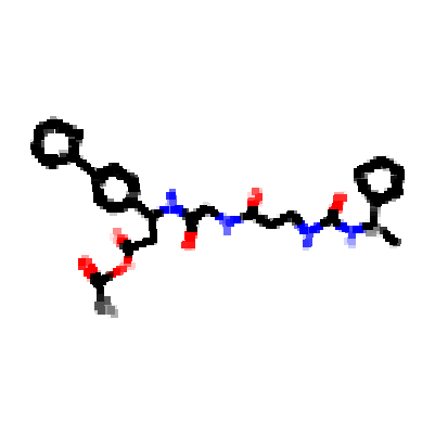 C[C@@H](NC(=O)NCCC(=O)NCC(=O)NC(CC(=O)OC(=O)C(F)(F)F)c1ccc(-c2ccccc2)cc1)c1ccccc1